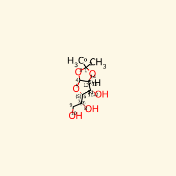 CC1(C)OC2O[C@@H]([C@H](O)CO)[C@@H](O)[C@@H]2O1